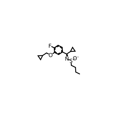 CCCC[S@+]([O-])/N=C(/c1ccc(F)c(OCC2CC2)c1)C1CC1